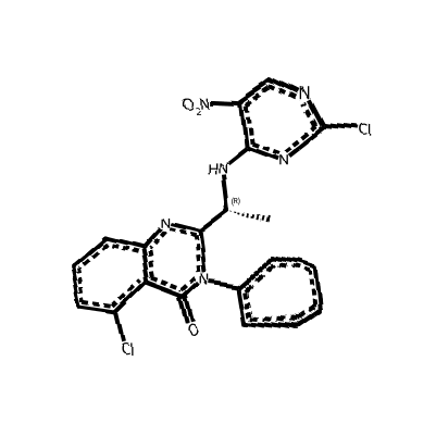 C[C@@H](Nc1nc(Cl)ncc1[N+](=O)[O-])c1nc2cccc(Cl)c2c(=O)n1-c1ccccc1